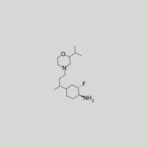 CC(C)C1CN(CCC(C)C2CC[C@H](N)[C@@H](F)C2)CCO1